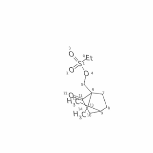 CCS(=O)(=O)OCC12CCC(CC1=O)C2(C)C